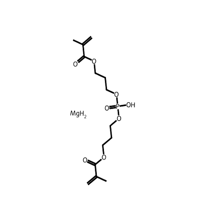 C=C(C)C(=O)OCCCOP(=O)(O)OCCCOC(=O)C(=C)C.[MgH2]